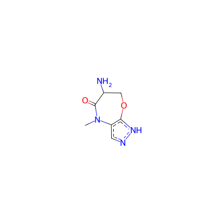 CN1C(=O)C(N)COc2[nH]ncc21